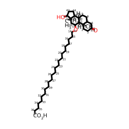 C[C@]12CCC(=O)CC1CC[C@@H]1[C@H]2C(OCCCCCCCCCCCCCCCCCCCCCCCC(=O)O)C[C@]2(C)C(O)CC[C@@H]12